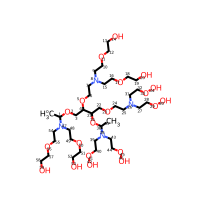 CC(OCC(OCCN(CCOCCO)CCOCCO)C(COCCN(CCOO)CCOO)OC(C)N(CCOO)CCOO)N(CCOCCO)CCOCCO